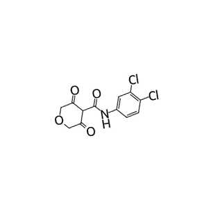 O=C1COCC(=O)C1C(=O)Nc1ccc(Cl)c(Cl)c1